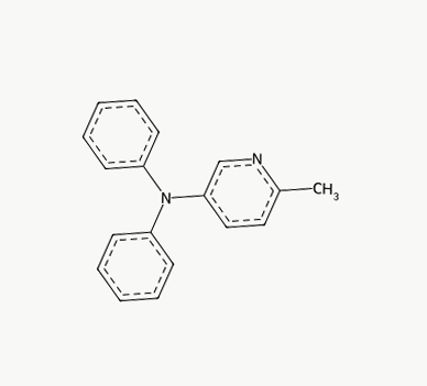 Cc1ccc(N(c2ccccc2)c2ccccc2)cn1